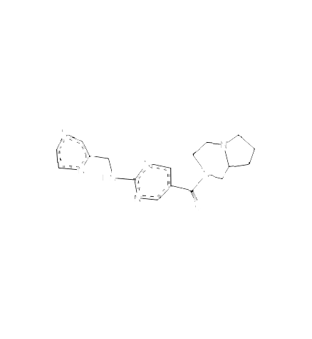 O=C(c1cnc(NCc2cnccn2)nc1)N1CCN2CCCC2C1